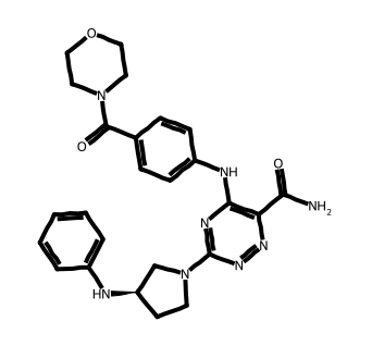 NC(=O)c1nnc(N2CC[C@@H](Nc3ccccc3)C2)nc1Nc1ccc(C(=O)N2CCOCC2)cc1